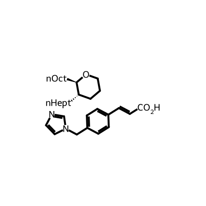 CCCCCCCC[C@H]1OCCC[C@@H]1CCCCCCC.O=C(O)/C=C/c1ccc(Cn2ccnc2)cc1